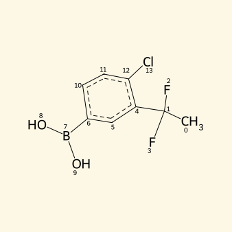 CC(F)(F)c1cc(B(O)O)ccc1Cl